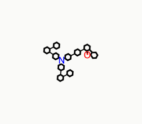 c1ccc(-c2ccccc2-c2ccc(N(c3ccc(-c4ccc(-c5cccc6c5oc5ccccc56)cc4)cc3)c3ccc(-c4ccccc4-c4ccccc4)cc3)cc2)cc1